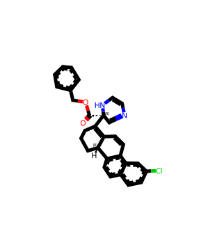 O=C(OCc1ccccc1)[C@@]1(C2=C3C=Cc4c(ccc5ccc(Cl)cc45)[C@H]3CCC2)C=NC=CN1